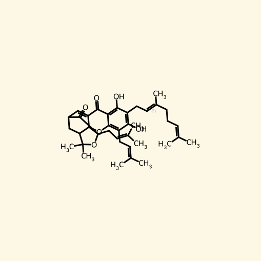 CC(C)=CCC/C(C)=C/Cc1c(O)c(CC=C(C)C)c2c(c1O)C(=O)C1=CC3CC4C(C)(C)OC(CC=C(C)C)(C3=O)C14O2